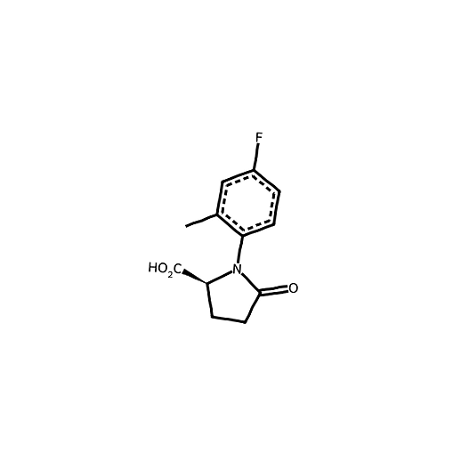 Cc1cc(F)ccc1N1C(=O)CC[C@H]1C(=O)O